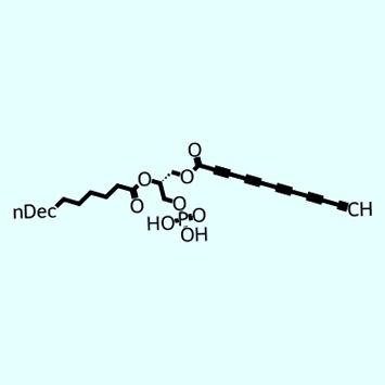 C#CC#CC#CC#CC#CC(=O)OC[C@H](COP(=O)(O)O)OC(=O)CCCCCCCCCCCCCCC